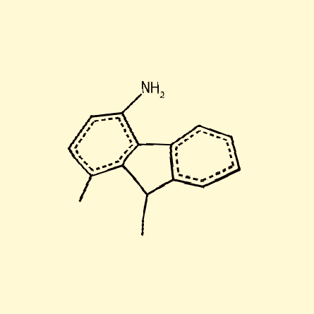 Cc1ccc(N)c2c1C(C)c1ccccc1-2